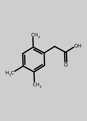 Cc1cc(C)c(CC(=O)O)cc1C